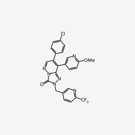 COc1ccc(-c2c(-c3ccc(Cl)cc3)cnn3c(=O)n(Cc4ccc(C(F)(F)F)nc4)nc23)cn1